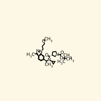 COCCCn1nc(C)c2ccc(C(C)N(C(=O)[C@@H]3CCN(C(=O)OC(C)(C)C)C3)C3CC3)cc21